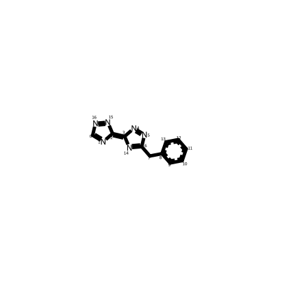 C1=NC(=C2N=NC(Cc3ccccc3)=N2)N=N1